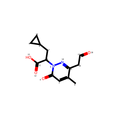 Cc1cc(=O)n(C(CC2CC2)C(=O)O)nc1CC=O